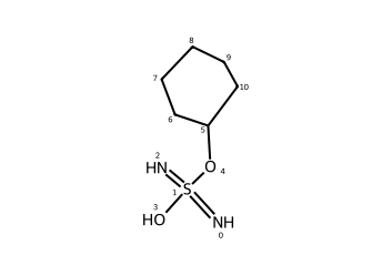 N=S(=N)(O)OC1CCCCC1